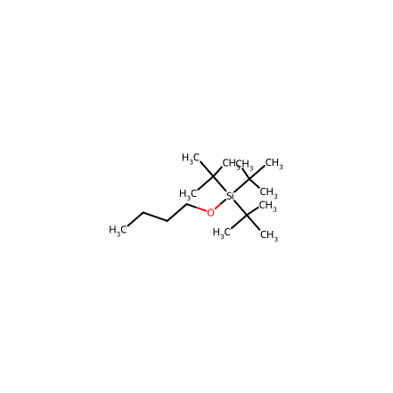 CCCCO[Si](C(C)(C)C)(C(C)(C)C)C(C)(C)C